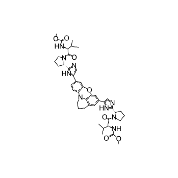 COC(=O)N[C@H](C(=O)N1CCC[C@H]1c1ncc(-c2ccc3c(c2)Oc2cc(-c4cnc([C@@H]5CCCN5C(=O)[C@@H](NC(=O)OC)C(C)C)[nH]4)cc4c2N3CCC4)[nH]1)C(C)C